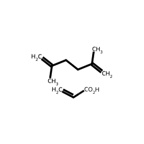 C=C(C)CCC(=C)C.C=CC(=O)O